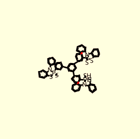 S=P1(c2cccc(-c3cc(-c4cccc(P5(=S)Sc6ccccc6N5c5ccccc5)c4)cc(-c4cccc([PH]5(S)Sc6ccccc6N5c5ccccc5)c4)c3)c2)Sc2ccccc2N1c1ccccc1